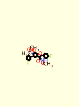 CONC(=O)c1c(-c2ccc(F)cc2)oc2cc(N(C)S(C)(=O)=O)c(-c3cccc(F)c3)cc12